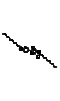 CCCCCCCCCCOc1ccc(-c2ncc(OC(=O)CCCCCCCCC)cn2)cc1